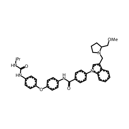 COCC1CCCN1Cc1cn(-c2ccc(C(=O)Nc3ccc(Oc4ccc(NC(=O)NC(C)C)cc4)cc3)cc2)c2ccccc12